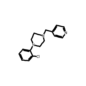 Clc1ccccc1N1CCN(Cc2ccncc2)CC1